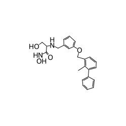 Cc1c(COc2cccc(CNC(CO)C(=O)NO)c2)cccc1-c1ccccc1